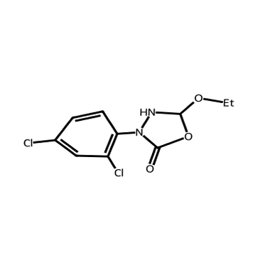 CCOC1NN(c2ccc(Cl)cc2Cl)C(=O)O1